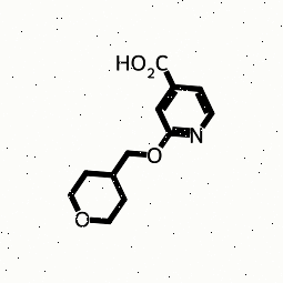 O=C(O)c1ccnc(OCC2CCOCC2)c1